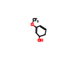 OC1C=C(OC(F)(F)F)C=CC1